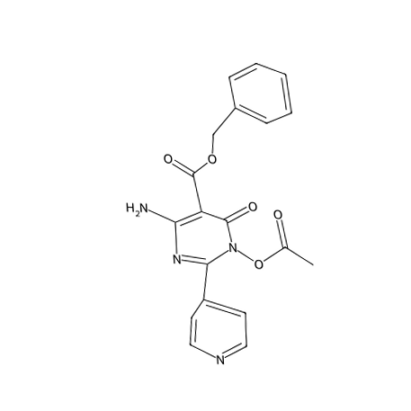 CC(=O)On1c(-c2ccncc2)nc(N)c(C(=O)OCc2ccccc2)c1=O